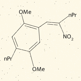 CCCC(=Cc1cc(OC)c(CCC)cc1OC)[N+](=O)[O-]